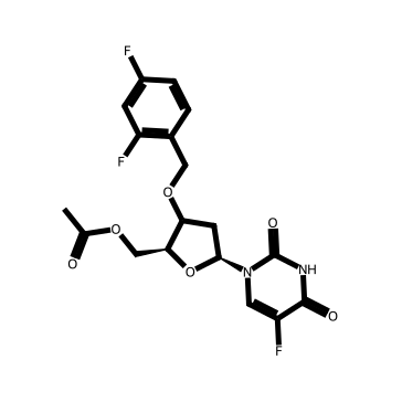 CC(=O)OC[C@@H]1O[C@H](n2cc(F)c(=O)[nH]c2=O)CC1OCc1ccc(F)cc1F